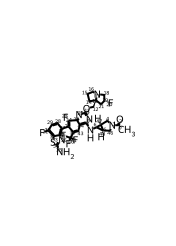 CC(=O)N1C[C@@H]2C(Nc3nc(OC[C@@]45CCCN4C[C@H](F)C5)nc4c(F)c(-c5ccc(F)c6sc(N)nc56)c(C(F)(F)F)cc34)[C@@H]2C1